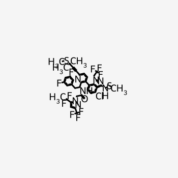 CSNc1nn(CC(F)(F)F)c2c(-c3ccc(C#CC(C)(C)SC)nc3C(Cc3cc(F)cc(F)c3)NC(=O)Cn3nc(C(F)(F)F)cc3C(C)(F)F)ccc(Cl)c12